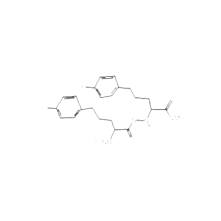 CNC(=O)C(CCCc1ccc(F)cc1)N(NC(=O)C(CCCc1ccc(C(F)(F)F)cc1)NC(C)=O)C(C)=O